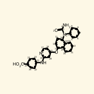 NC(=O)N(c1ccccc1)c1ccc(Oc2ccnc(Nc3ccc(C(=O)O)cc3)c2)c2ccccc12